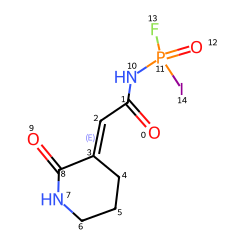 O=C(/C=C1\CCCNC1=O)NP(=O)(F)I